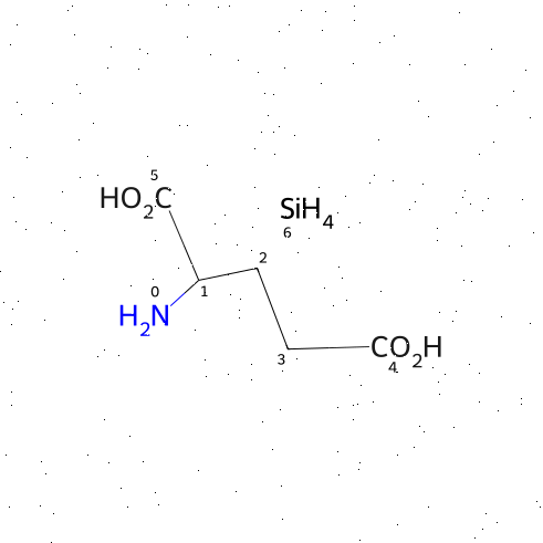 NC(CCC(=O)O)C(=O)O.[SiH4]